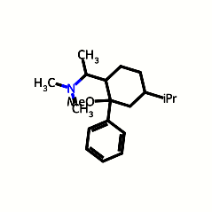 COC1(c2ccccc2)CC(C(C)C)CCC1C(C)N(C)C